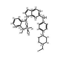 CCN1CCN(c2ccc(Nc3ncc4ccn(Cc5cccnc5N(C)S(C)(=O)=O)c4n3)cc2)CC1